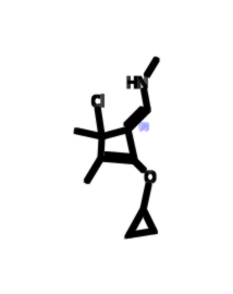 CN/C=C1/C(OC2CC2)=C(C)C1(C)Cl